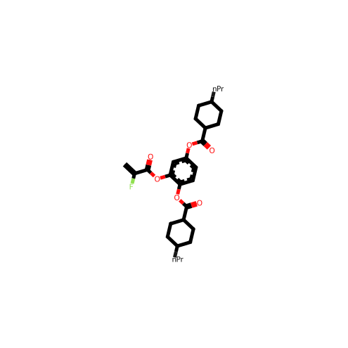 C=C(F)C(=O)Oc1cc(OC(=O)C2CCC(CCC)CC2)ccc1OC(=O)C1CCC(CCC)CC1